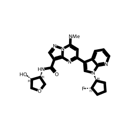 CNc1cc(-c2cn([C@@H]3CCC[C@@H]3F)c3ncccc23)nc2c(C(=O)N[C@@H]3COC[C@@H]3O)cnn12